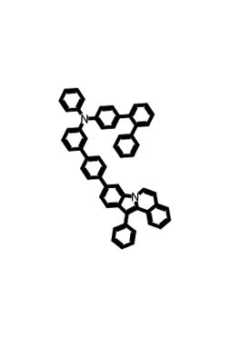 c1ccc(-c2ccccc2-c2ccc(N(c3ccccc3)c3cccc(-c4ccc(-c5ccc6c(-c7ccccc7)c7c8ccccc8ccn7c6c5)cc4)c3)cc2)cc1